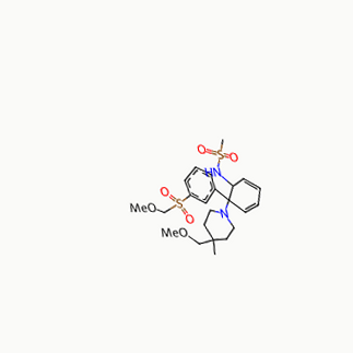 COCC1(C)CCN(C2(c3cccc(S(=O)(=O)COC)c3)C=CC=CC2NS(C)(=O)=O)CC1